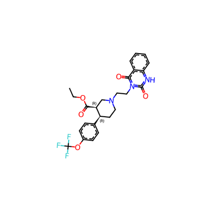 CCOC(=O)[C@H]1CN(CCn2c(=O)[nH]c3ccccc3c2=O)CC[C@H]1c1ccc(OC(F)(F)F)cc1